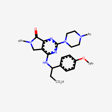 CCCOc1ccc(C(CC(=O)O)Nc2nc(N3CCN(C(C)=O)CC3)nc3c2CN(CCC)C3=O)cc1